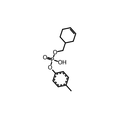 Cc1ccc(OP(=O)(O)OCC2CC=CCC2)cc1